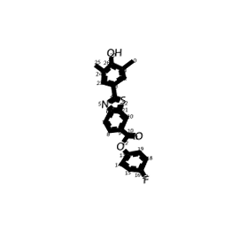 Cc1cc(-c2nc3ccc(C(=O)Oc4ccc(F)cc4)cc3s2)cc(C)c1O